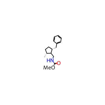 COC(=O)NCC1[C@@H](Cc2ccccc2)CC[C@H]1C